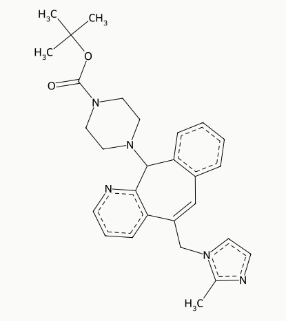 Cc1nccn1CC1=Cc2ccccc2C(N2CCN(C(=O)OC(C)(C)C)CC2)c2ncccc21